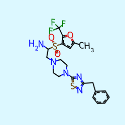 Cc1cc(S(=O)(=O)C(N)CN2CCN(c3nc(Cc4ccccc4)ns3)CC2)c(C(F)(F)F)o1